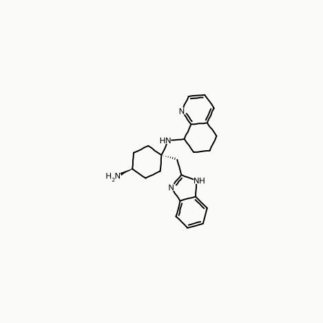 N[C@H]1CC[C@@](Cc2nc3ccccc3[nH]2)(NC2CCCc3cccnc32)CC1